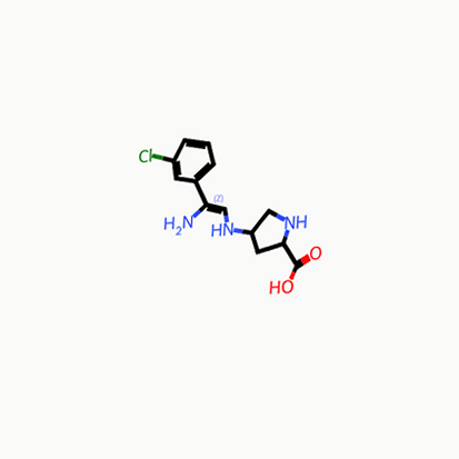 N/C(=C\NC1CNC(C(=O)O)C1)c1cccc(Cl)c1